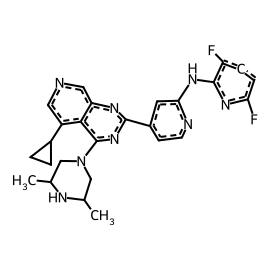 CC1CN(c2nc(-c3ccnc(Nc4nc(F)ccc4F)c3)nc3cncc(C4CC4)c23)CC(C)N1